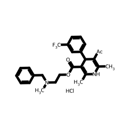 CC(=O)C1=C(C)NC(C)=C(C(=O)OCCN(C)Cc2ccccc2)C1c1cccc(C(F)(F)F)c1.Cl